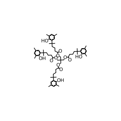 Cc1cc(C)c(O)c(C(C)(C)CCCC(=O)OCC(COC(=O)CCCC(C)(C)c2cc(C)cc(C)c2O)(COC(=O)CCCC(C)(C)c2cc(C)cc(C)c2O)COC(=O)CCCC(C)(C)c2cc(C)cc(C)c2O)c1